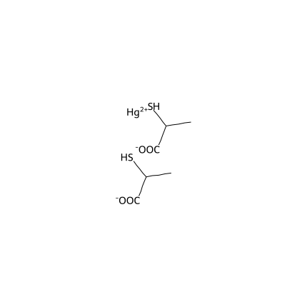 CC(S)C(=O)[O-].CC(S)C(=O)[O-].[Hg+2]